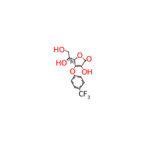 O=C1O[C@H]([C@@H](O)CO)C(Oc2ccc(C(F)(F)F)cc2)=C1O